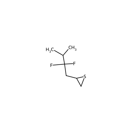 CC(C)C(F)(F)CC1CS1